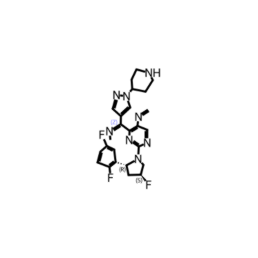 C=Nc1cnc(N2C[C@@H](F)C[C@@H]2c2cc(F)ccc2F)nc1/C(=N\C)c1cnn(C2CCNCC2)c1